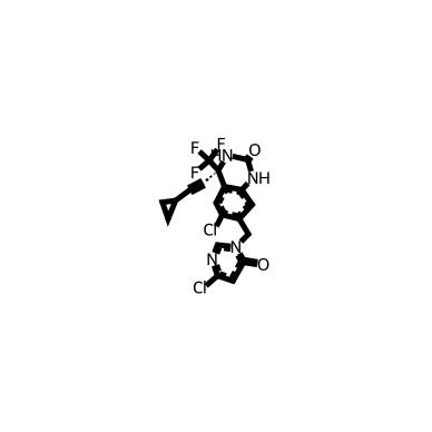 O=C1Nc2cc(Cn3cnc(Cl)cc3=O)c(Cl)cc2[C@@](C#CC2CC2)(C(F)(F)F)N1